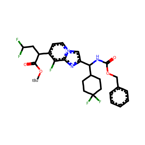 CC(C)(C)OC(=O)C(CC(F)F)c1ccn2cc(C(NC(=O)OCc3ccccc3)C3CCC(F)(F)CC3)nc2c1F